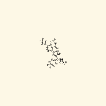 O=C(O)N[C@H](c1nc2c(F)c(C(CC(F)F)C(=O)N3CC(F)(F)C3)ccc2[nH]1)C1CCC(F)(F)CC1